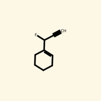 C#CC(F)C1=CC[CH]CC1